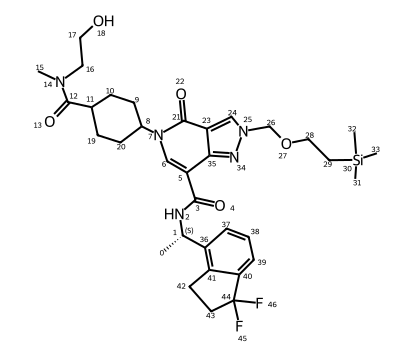 C[C@H](NC(=O)c1cn(C2CCC(C(=O)N(C)CCO)CC2)c(=O)c2cn(COCC[Si](C)(C)C)nc12)c1cccc2c1CCC2(F)F